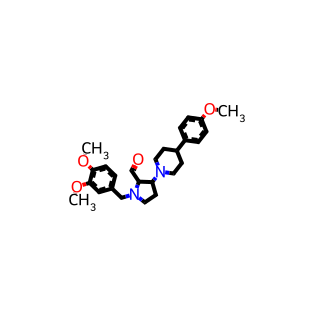 COc1ccc(C2CCN(C3CCN(Cc4ccc(OC)c(OC)c4)C3C=O)CC2)cc1